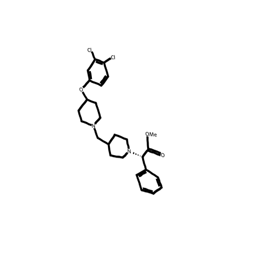 COC(=O)[C@H](c1ccccc1)N1CCC(CN2CCC(Oc3ccc(Cl)c(Cl)c3)CC2)CC1